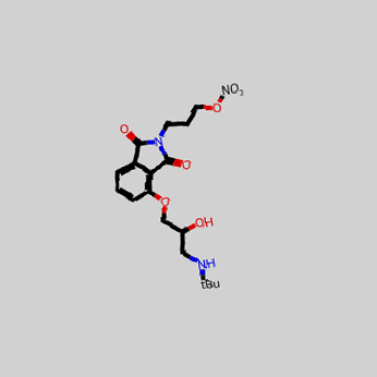 CC(C)(C)NCC(O)COc1cccc2c1C(=O)N(CCCO[N+](=O)[O-])C2=O